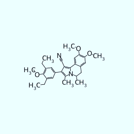 CCc1cc(-c2c(C#N)c3n(c2C)C(C)Cc2cc(OC)c(OC)cc2-3)cc(CC)c1OC